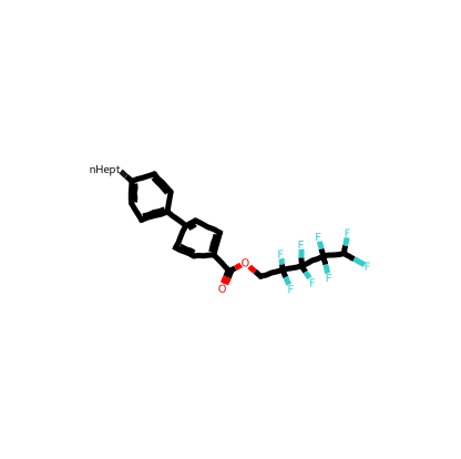 CCCCCCCc1ccc(-c2ccc(C(=O)OCC(F)(F)C(F)(F)C(F)(F)C(F)F)cc2)cc1